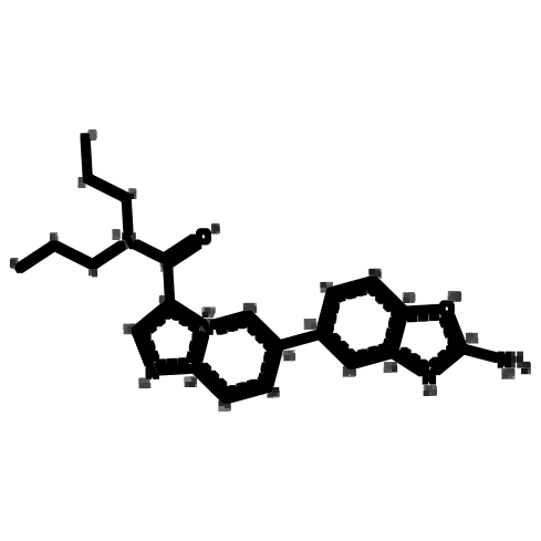 CCCN(CCC)C(=O)c1cnc2ccc(-c3ccc4oc(N)nc4c3)cn12